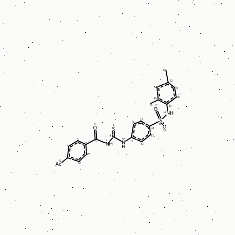 CC(=O)c1ccc(C(=O)NC(=S)Nc2ccc(S(=O)(=O)Nc3ccc(C)cc3C)cc2)cc1